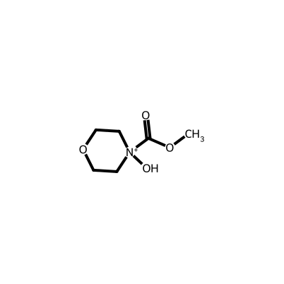 COC(=O)[N+]1(O)CCOCC1